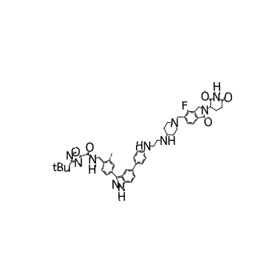 Cc1cc(-c2n[nH]c3ccc(-c4ccc(NCCNC5CCN(Cc6ccc7c(c6F)CN(C6CCC(=O)NC6=O)C7=O)CC5)cc4)cc23)ccc1CNC(=O)c1nc(C(C)(C)C)no1